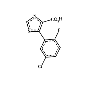 O=C(O)c1ncsc1-c1cc(Cl)ccc1F